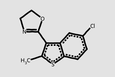 Cc1sc2ccc(Cl)cc2c1C1=NCCO1